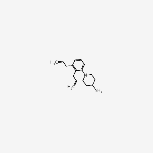 C=CCc1cccc(N2CCC(N)CC2)c1CC=C